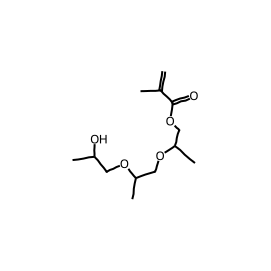 C=C(C)C(=O)OCC(C)OCC(C)OCC(C)O